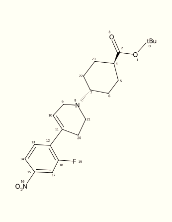 CC(C)(C)OC(=O)[C@H]1CC[C@H](N2CC=C(c3ccc([N+](=O)[O-])cc3F)CC2)CC1